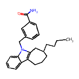 CCCCC1CCCc2c(n(Cc3cccc(C(N)=O)c3)c3ccccc23)C1